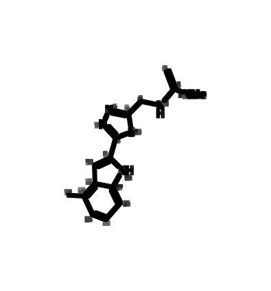 C=C(NC)NCc1nnc(-c2cc3c(C)cccc3[nH]2)s1